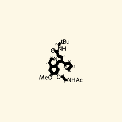 COc1cc2c(cc1OCCNC(C)=O)-c1c(-c3cccs3)cc(C(=O)NCC(C)(C)C)n1CC2